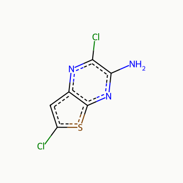 Nc1nc2sc(Cl)cc2nc1Cl